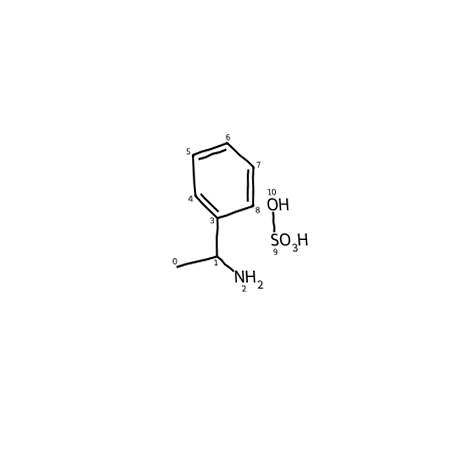 CC(N)c1ccccc1.O=S(=O)(O)O